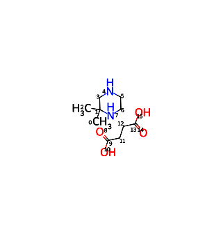 CC1(C)CNCCN1.O=C(O)CCC(=O)O